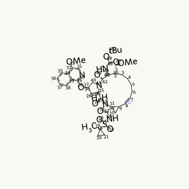 COC[C@@H]1CCCC/C=C\C2C[C@@]2(C(=O)NS(=O)(=O)C2(C)CC2)NC(=O)[C@@H]2C[C@@H](Oc3ncc(OC)c4ccccc34)CN2C(=O)[C@H]1NC(=O)OC(C)(C)C